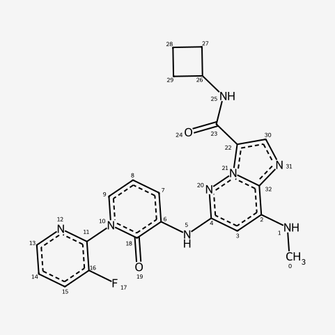 CNc1cc(Nc2cccn(-c3ncccc3F)c2=O)nn2c(C(=O)NC3CCC3)cnc12